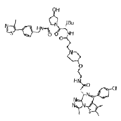 Cc1ncsc1-c1ccc(CNC(=O)[C@@H]2C[C@@H](O)CN2C(=O)[C@@H](NC(=O)CCN2CCC(OCCNC(=O)C[C@@H]3N=C(c4ccc(Cl)cc4)c4c(sc(C)c4C)-n4c(C)nnc43)CC2)C(C)(C)C)cc1